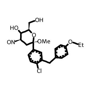 CCOc1ccc(Cc2cc([C@@]3(OC)C[C@@H](N=O)C(O)[C@@H](CO)O3)ccc2Cl)cc1